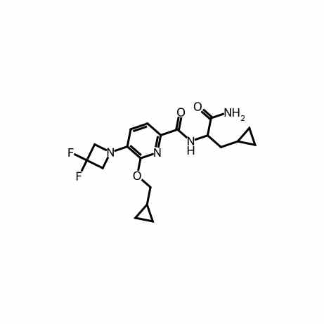 NC(=O)C(CC1CC1)NC(=O)c1ccc(N2CC(F)(F)C2)c(OCC2CC2)n1